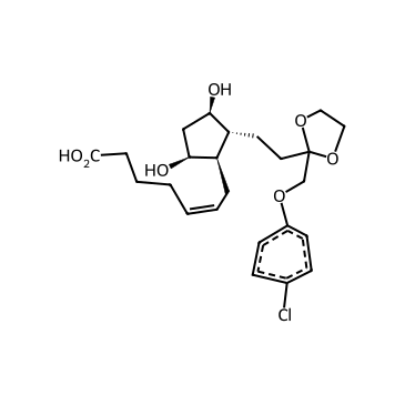 O=C(O)CCC/C=C\C[C@@H]1[C@@H](CCC2(COc3ccc(Cl)cc3)OCCO2)[C@H](O)C[C@@H]1O